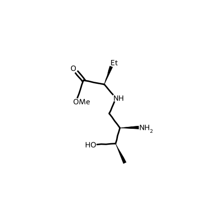 CC[C@@H](NC[C@@H](N)[C@@H](C)O)C(=O)OC